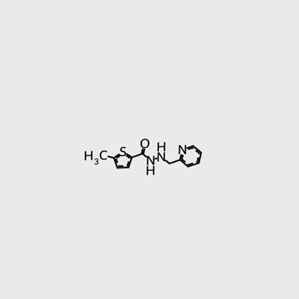 Cc1ccc(C(=O)NNCc2ccccn2)s1